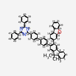 CC1(C)c2ccccc2-c2cc(-c3ccc4c(c3)oc3ccccc34)c(-c3ccc(-c4ccc(-c5nc(-c6ccccc6)nc(-c6ccccc6)n5)cc4)cc3)cc21